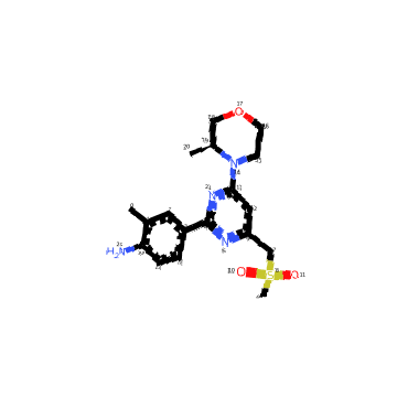 Cc1cc(-c2nc(CS(C)(=O)=O)cc(N3CCOC[C@@H]3C)n2)ccc1N